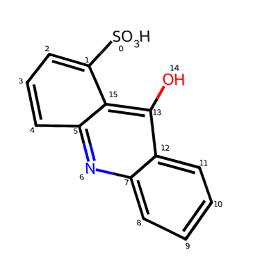 O=S(=O)(O)c1cccc2nc3ccccc3c(O)c12